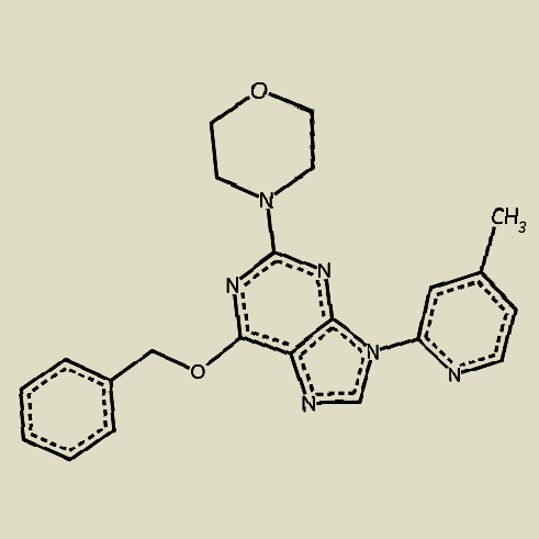 Cc1ccnc(-n2cnc3c(OCc4ccccc4)nc(N4CCOCC4)nc32)c1